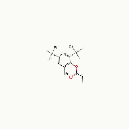 C=CC(=O)Oc1c(C(C)C)cc(C(C)(C)CC)cc1C(C)(C)CC